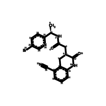 C[C@H](NC(=O)CN1Cc2c(C#N)cccc2NC1=O)c1ccc(Br)cn1